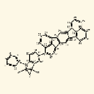 CC12CC1(C)N(c1ccccc1)c1ccc(-c3ccc4c5cc6c(cc5c5cccc3c54)c3cccc4cccc6c43)cc12